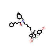 C[C@]12C[C@H](F)[C@@H]3c4ccc(O)cc4C[C@@H](CCCCCCN(Cc4ccccc4)C(=O)CCCc4ccccc4)[C@H]3[C@@H]1CC[C@@H]2O